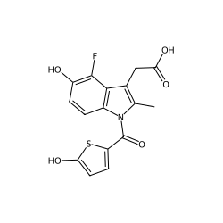 Cc1c(CC(=O)O)c2c(F)c(O)ccc2n1C(=O)c1ccc(O)s1